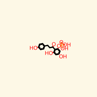 O=C(CCc1ccc(O)cc1)c1c(O)cc(O)cc1OP(=O)(O)O